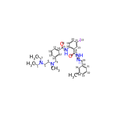 CCN(CC)CCN(C)Cc1cccc(C(=O)Nc2ccc(I)cc2C(=O)N/N=C/c2cccc(C)c2)c1